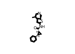 Cc1cncc2sc(NC(=O)[C@@H]3C[C@H]3c3ccccc3)cc12